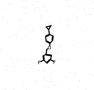 Fc1cc(F)cc(COc2ccc(C3CC3)cc2)c1